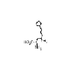 CC(CCCC1CCCC1)CC(CN)C(=O)O